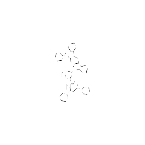 c1ccc(-c2cc(-c3ccccc3)nc(-c3cncc(-n4c5ccccc5c5cc6c7ccccc7n(-c7ccccc7)c6cc54)c3)n2)cc1